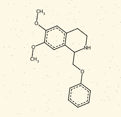 COc1cc2c(cc1OC)C(COc1ccccc1)NCC2